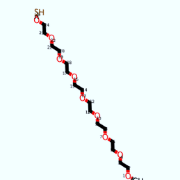 COCCOCCOCCOCCOCCOCCOCCOCCOS